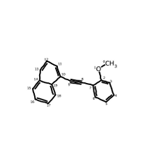 COc1ccccc1C#Cc1cccc2ccccc12